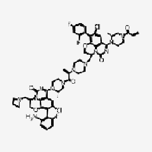 C=CC(=O)N1CCN(c2nc(=O)n3c4c(c(-c5ccc(F)cc5F)c(Cl)cc24)OCC3CN2CCN(C(=C)C(=O)N3CCN(c4nc(=O)n5c6c(c(-c7c(N)cccc7F)c(Cl)cc46)OCC5CN4CCC4)[C@@H](C)C3)CC2)[C@@H](C)C1